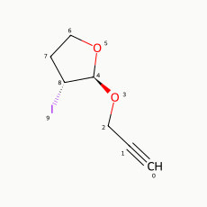 C#CCO[C@@H]1OCC[C@H]1I